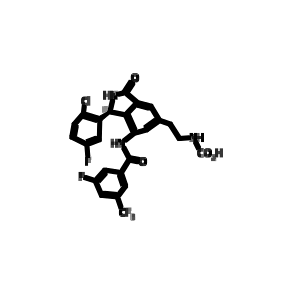 O=C(O)NCCc1cc(NC(=O)c2cc(F)cc(C(F)(F)F)c2)c2c(c1)C(=O)N[C@@H]2c1cc(F)ccc1Cl